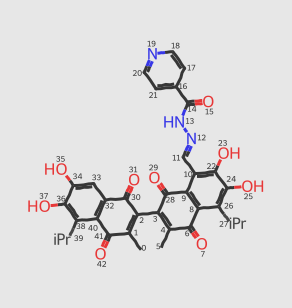 CC1=C(C2=C(C)C(=O)c3c(c(/C=N/NC(=O)c4ccncc4)c(O)c(O)c3C(C)C)C2=O)C(=O)c2cc(O)c(O)c(C(C)C)c2C1=O